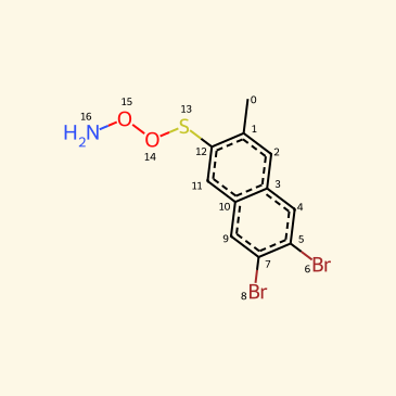 Cc1cc2cc(Br)c(Br)cc2cc1SOON